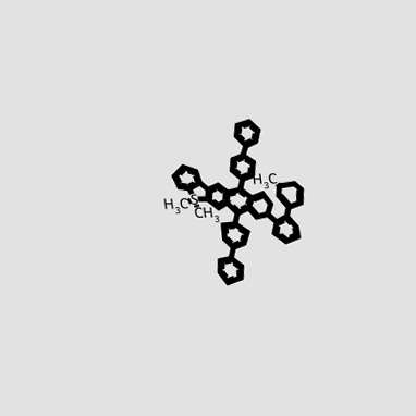 CC1C=C(c2ccccc2C2C=c3c(-c4ccc(-c5ccccc5)cc4)c4cc5c(cc4c(-c4ccc(-c6ccccc6)cc4)c3=CC2)-c2ccccc2S5(C)C)C=CC1